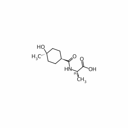 C[C@@H](NC(=O)[C@H]1CC[C@@](C)(O)CC1)C(=O)O